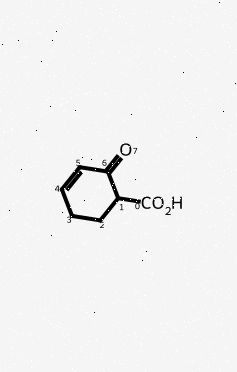 O=C(O)C1CCC=CC1=O